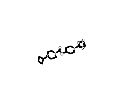 O=C(OC1CCN(c2nncs2)CC1)N1CCN(C2CCC2)CC1